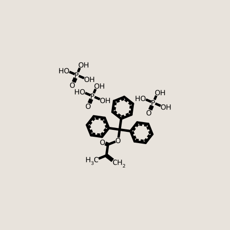 C=C(C)C(=O)OC(c1ccccc1)(c1ccccc1)c1ccccc1.O=P(O)(O)O.O=P(O)(O)O.O=P(O)(O)O